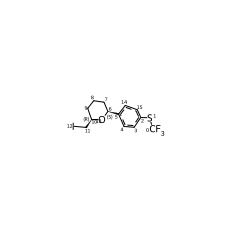 FC(F)(F)Sc1ccc([C@@H]2CCC[C@H](CI)O2)cc1